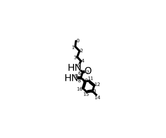 CCCCCNC(=O)C(=N)c1ccc(C)cc1